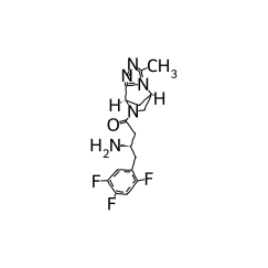 Cc1nnc2n1[C@@H]1C[C@H]2N(C(=O)C[C@H](N)Cc2cc(F)c(F)cc2F)C1